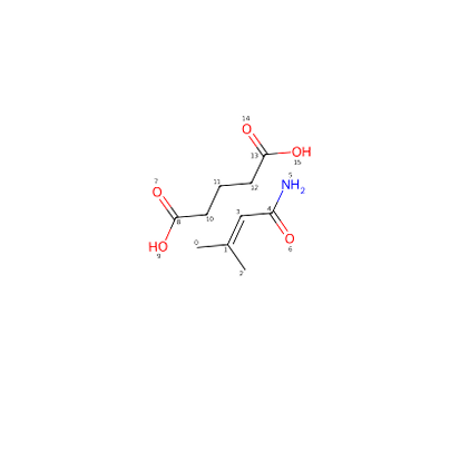 CC(C)=CC(N)=O.O=C(O)CCCC(=O)O